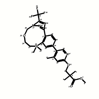 COC(=O)C(C)(C)COc1cc(C)c(-c2ccc3c(c2)[Si](C)(C)CCOCn2nc-3nc2C(F)(F)F)cn1